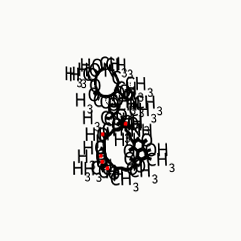 CC[C@H]1OC(=O)[C@H](C)[C@@H](O[C@H]2C[C@@](C)(OC)[C@@H](OC(=O)NCCNC3=C4NC(=O)/C(C)=C\C=C\[C@H](C)[C@H](O)C[C@@H](O)[C@@H](C)[C@H](OC(C)=O)[C@H](C)[C@@H](OC)/C=C/O[C@@]5(C)Oc6c(C)c(O)c(c(c6C5=O)C3=O)C4=O)[C@H](C)O2)[C@H](C)[C@@H](O[C@H]2C[C@@H](N(C)C)C[C@@H](C)O2)[C@](C)(O)CCCN(C)[C@H](C)[C@@H](O)[C@]1(C)O